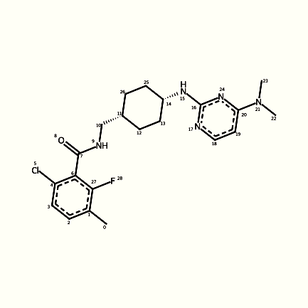 Cc1ccc(Cl)c(C(=O)NC[C@H]2CC[C@@H](Nc3nccc(N(C)C)n3)CC2)c1F